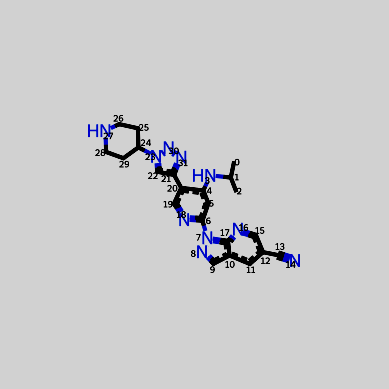 CC(C)Nc1cc(-n2ncc3cc(C#N)cnc32)ncc1-c1cn(C2CCNCC2)nn1